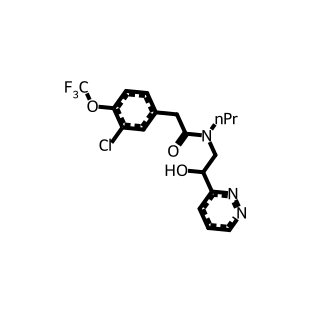 CCCN(CC(O)c1cccnn1)C(=O)Cc1ccc(OC(F)(F)F)c(Cl)c1